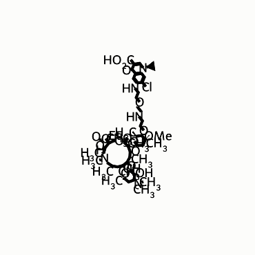 CC[C@H]1OC(=O)[C@H](C)[C@@H](OC2C[C@@](C)(OC)[C@@H](OCCNCCOCCNc3cc4c(=O)c(C(=O)O)cn(C5CC5)c4cc3Cl)[C@H](C)O2)[C@H](C)[C@@H](O[C@@H]2O[C@H](C)C[C@H](N(C)C)[C@H]2O)[C@](C)(O)C[C@@H](C)CN(C)[C@H](C)[C@@H]2OC(=O)O[C@]12C